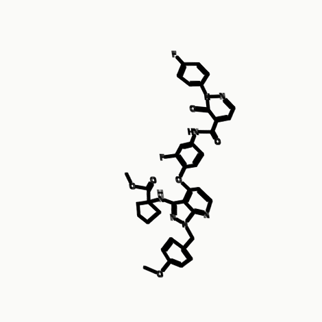 COC(=O)C1(Nc2nn(Cc3ccc(OC)cc3)c3nccc(Oc4ccc(NC(=O)c5ccnn(-c6ccc(F)cc6)c5=O)cc4F)c23)CCCC1